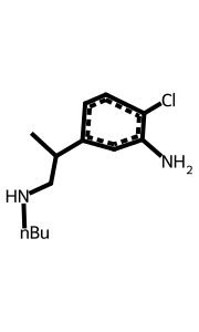 CCCCNCC(C)c1ccc(Cl)c(N)c1